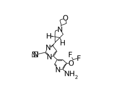 Nc1ncc(-c2cc([C@H]3[C@@H]4CN(C5COC5)C[C@@H]43)nc(N3CC4CC3C4)n2)cc1OC(F)F